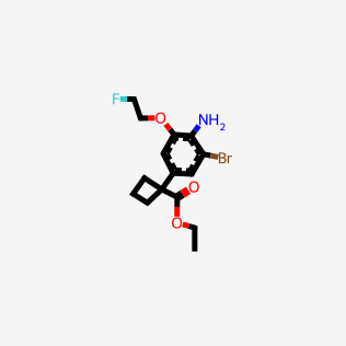 CCOC(=O)C1(c2cc(Br)c(N)c(OCCF)c2)CCC1